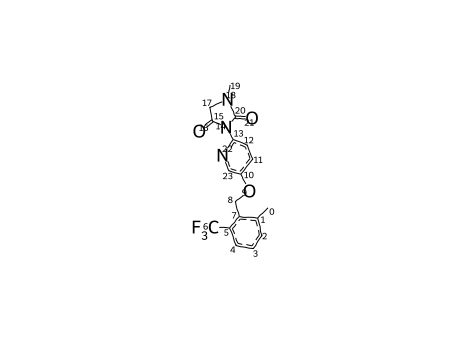 Cc1cccc(C(F)(F)F)c1COc1ccc(N2C(=O)CN(C)C2=O)nc1